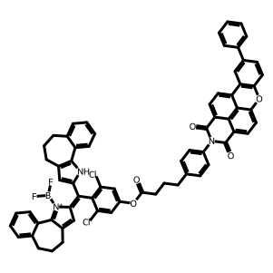 O=C(CCCc1ccc(-n2c(=O)c3ccc4oc5ccc(-c6ccccc6)cc5c5ccc(c2=O)c3c45)cc1)Oc1cc(Cl)c(/C(=C2\C=C3CCCc4ccccc4C3=[N+]2B(F)F)c2cc3c([nH]2)-c2ccccc2CCC3)c(Cl)c1